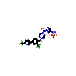 CS(=O)(=O)Nc1cnn(C(=O)N2CCN(Cc3ccc(-c4ccc(C(F)(F)F)nc4)cc3C(F)(F)F)CC2)c1